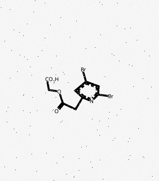 O=C(O)COC(=O)Cc1cc(Br)cc(Br)n1